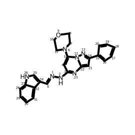 C(=N\Nc1cc(N2CCOCC2)n2nc(-c3ccccc3)cc2n1)/c1c[nH]c2ccccc12